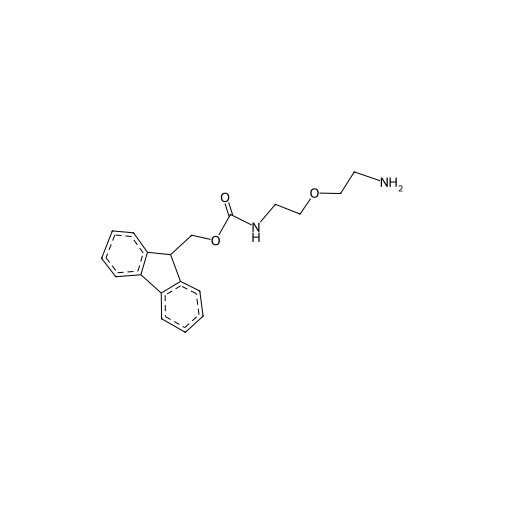 NCCOCCNC(=O)OCC1c2ccccc2-c2ccccc21